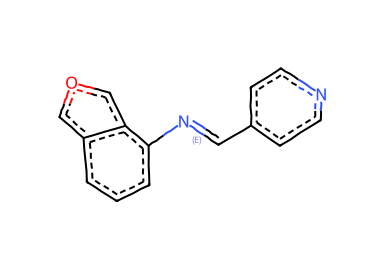 C(=N\c1cccc2cocc12)/c1ccncc1